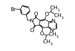 CC(C)Oc1c2c(c(OC(C)C)c3nccnc13)C(=O)N(Cc1cccc(Br)c1)C2=O